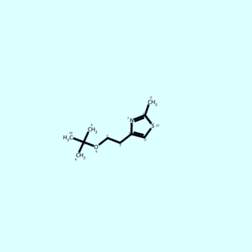 Cc1nc(CCOC(C)(C)C)cs1